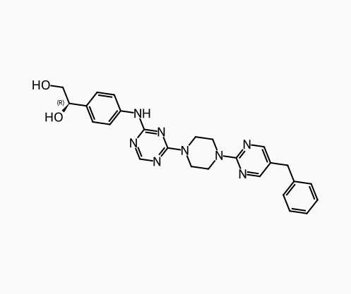 OC[C@H](O)c1ccc(Nc2ncnc(N3CCN(c4ncc(Cc5ccccc5)cn4)CC3)n2)cc1